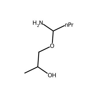 CCCC(N)OCC(C)O